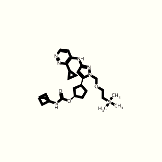 C[Si](C)(C)CCOCn1nc(Nc2ccnnc2C2CC2)cc1[C@H]1CC[C@@H](OC(=O)NC23CC(C2)C3)C1